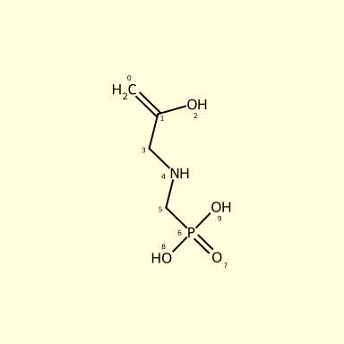 C=C(O)CNCP(=O)(O)O